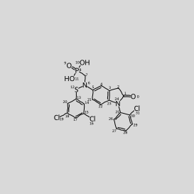 O=C1Cc2cc(N(CP(=O)(O)O)Sc3cc(Cl)cc(Cl)c3)ccc2N1c1ccccc1Cl